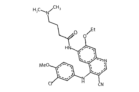 CCOc1cc2ncc(C#N)c(Nc3ccc(OC)c(Cl)c3)c2cc1NC(=O)CCCN(C)C